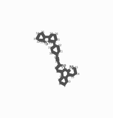 C(#Cc1ccc2c3ccccc3c3cccnc3c2n1)c1ccc(-c2cccc3c2sc2ccccc23)cc1